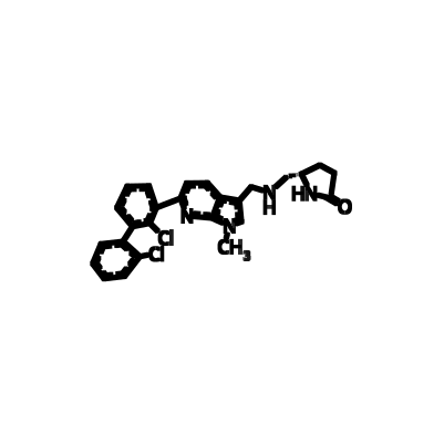 Cn1cc(CNC[C@@H]2CCC(=O)N2)c2ccc(-c3cccc(-c4ccccc4Cl)c3Cl)nc21